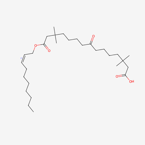 CCCCCCC/C=C\COC(=O)CC(C)(C)CCCCC(=O)CCCCC(C)(C)CC(=O)O